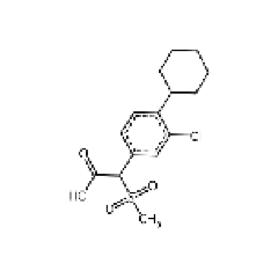 CS(=O)(=O)C(C(=O)O)c1ccc(C2CCCCC2)c(Cl)c1